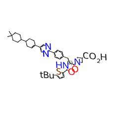 CC1(C)CCC(C2CC=C(c3cnc(-c4ccc(C[C@H](NC(=O)c5ccc(C(C)(C)C)s5)C(=O)N5CC(C(=O)O)C5)cc4)nc3)CC2)CC1